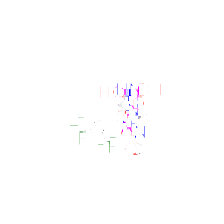 CC(C)(C)[C@H](NC(=O)[C@H](CCCc1cc(C(F)(F)F)cc(C(F)(F)F)c1)[C@H](O)C(=O)NO)c1noc(-c2ccco2)n1